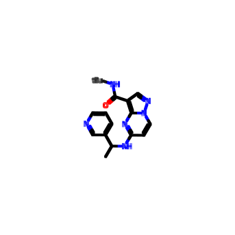 CC(Nc1ccn2ncc(C(=O)NC(C)(C)C)c2n1)c1cccnc1